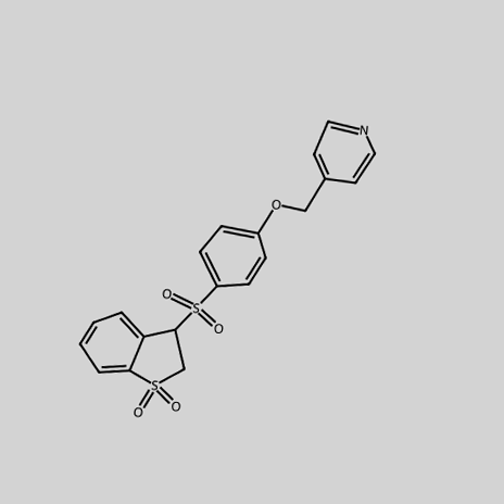 O=S1(=O)CC(S(=O)(=O)c2ccc(OCc3ccncc3)cc2)c2ccccc21